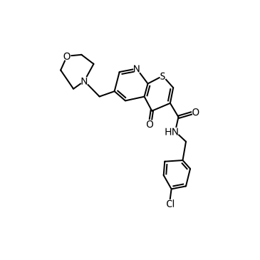 O=C(NCc1ccc(Cl)cc1)c1csc2ncc(CN3CCOCC3)cc2c1=O